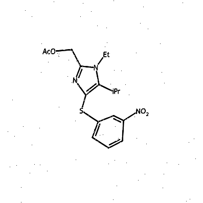 CCn1c(COC(C)=O)nc(Sc2cccc([N+](=O)[O-])c2)c1C(C)C